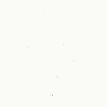 CCN(C)C=Nc1cc(Cl)c(Nc2ccccc2Cl)cc1Cl